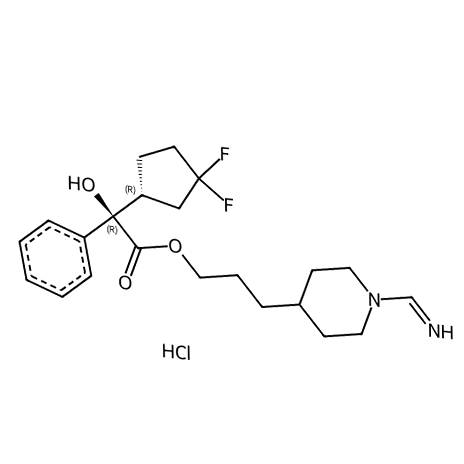 Cl.N=CN1CCC(CCCOC(=O)[C@](O)(c2ccccc2)[C@@H]2CCC(F)(F)C2)CC1